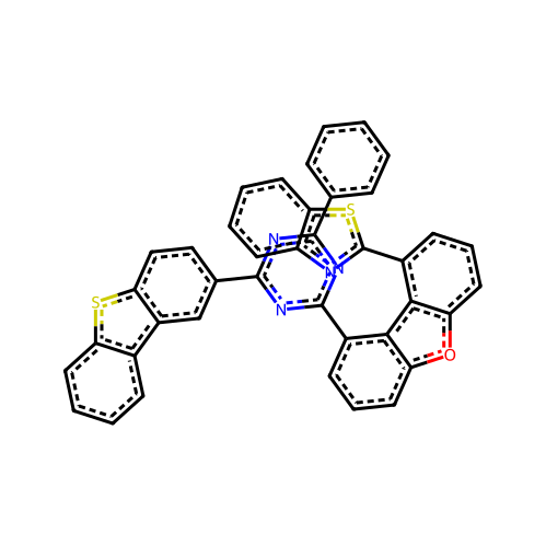 c1ccc(-c2nc(-c3ccc4sc5ccccc5c4c3)nc(-c3cccc4oc5cccc(-c6nc7ccccc7s6)c5c34)n2)cc1